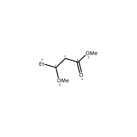 CCC(CC(=O)OC)OC